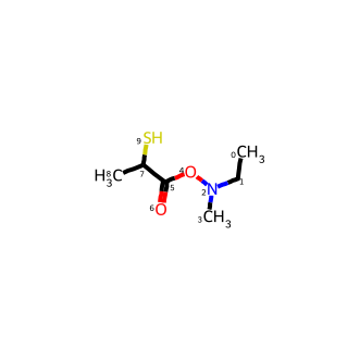 CCN(C)OC(=O)C(C)S